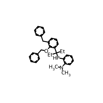 CCC(CC)(Pc1ccccc1N(C)C)c1cccc(Cc2ccccc2)c1OCc1ccccc1